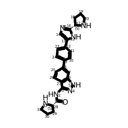 O=C(Nc1n[nH]c2cc(-c3ccc(-c4cnc([C@@H]5CCCN5)[nH]4)cc3)ccc12)[C@@H]1CCCN1